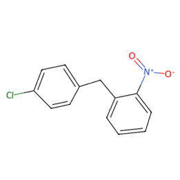 O=[N+]([O-])c1ccccc1Cc1ccc(Cl)cc1